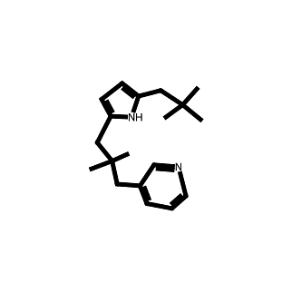 CC(C)(C)Cc1ccc(CC(C)(C)Cc2cccnc2)[nH]1